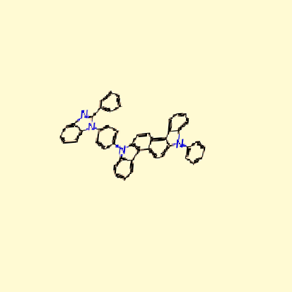 c1ccc(-c2nc3ccccc3n2-c2ccc(-n3c4ccccc4c4c5ccc6c(c5ccc43)c3ccccc3n6-c3ccccc3)cc2)cc1